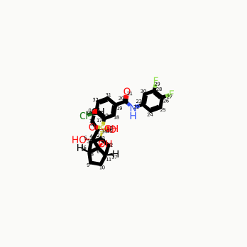 CC[C@H](O)[C@@H](O)[C@@]1(O)[C@@H]2CC[C@H]1C[C@H](S(=O)(=O)c1cc(C(=O)Nc3ccc(F)c(F)c3)ccc1Cl)C2